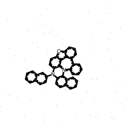 c1ccc2cc(N3c4ccc5ccccc5c4-n4c5ccccc5c5cccc6oc7ccc3c4c7c65)ccc2c1